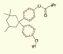 CC1CC(C)(C)CC(c2ccc(OC(=O)C(C)C)cc2)(c2ccc(OC(C)C)cc2)C1